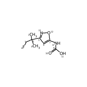 CC(C)(CF)c1cc(NC(=O)O)on1